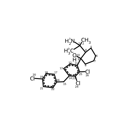 CC(C)(N)C1CCCCC1(O)c1ccc(Cc2ccc(Cl)cc2)c(Cl)c1Cl